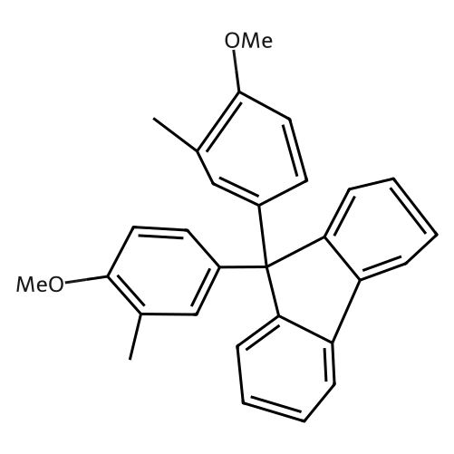 COc1ccc(C2(c3ccc(OC)c(C)c3)c3ccccc3-c3ccccc32)cc1C